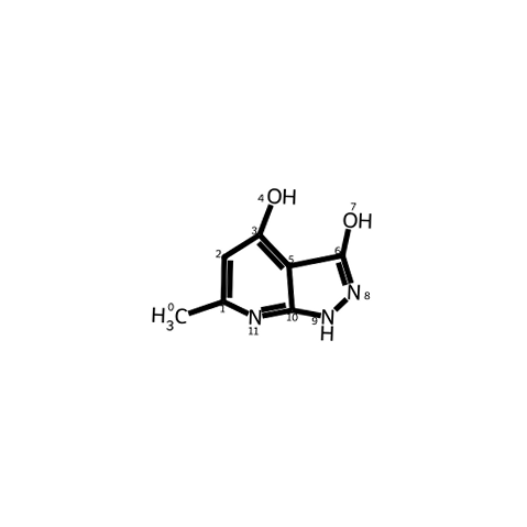 Cc1cc(O)c2c(O)n[nH]c2n1